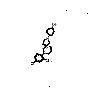 Cc1cc(Cl)ccc1N1CCC[C@]2(CCN([C@H]3CC[C@H](O)CC3)C2)C1